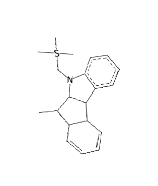 CC1C2C=CC=CC2C2c3ccccc3N(CS(C)(C)C)C12